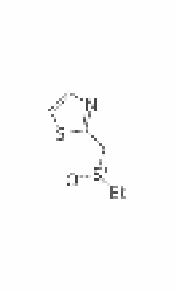 CC[S+]([O-])Cc1nccs1